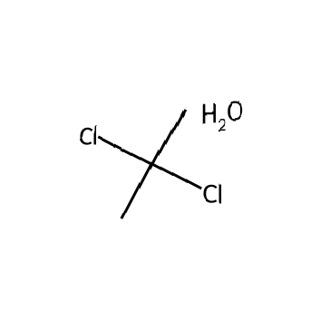 CC(C)(Cl)Cl.O